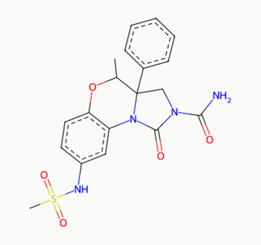 CC1Oc2ccc(NS(C)(=O)=O)cc2N2C(=O)N(C(N)=O)CC12c1ccccc1